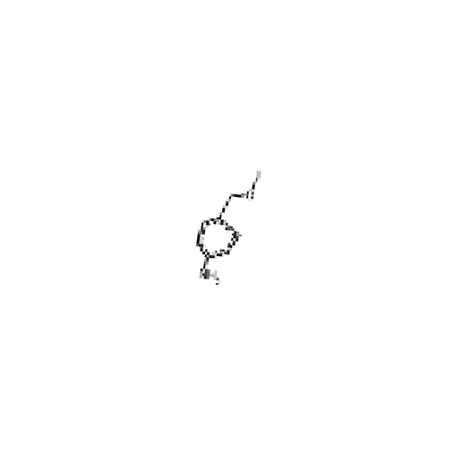 Nc1ccc(COI)cc1